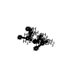 CC(C)Oc1ccc(C#Cc2ccccc2)cc1C(=O)NC(C)(CO)Cc1c[nH]c2ccccc12.COC(=O)C(C)(Cc1c[nH]c2ccccc12)NC(=O)c1cc(C#Cc2ccccc2)ccc1OC(C)C